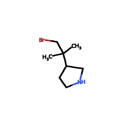 CC(C)(CBr)C1CCNC1